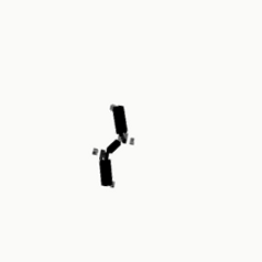 C=NN=C